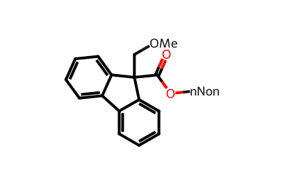 CCCCCCCCCOC(=O)C1(COC)c2ccccc2-c2ccccc21